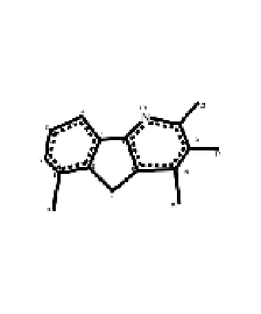 Cc1cccc2c1Cc1c-2nc(C)c(C)c1C